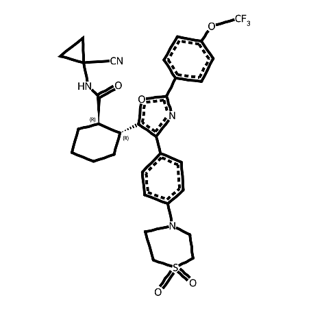 N#CC1(NC(=O)[C@@H]2CCCC[C@H]2c2oc(-c3ccc(OC(F)(F)F)cc3)nc2-c2ccc(N3CCS(=O)(=O)CC3)cc2)CC1